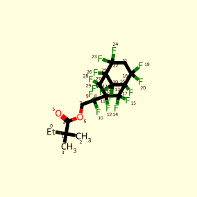 CCC(C)(C)C(=O)OCC(F)(F)C1(F)C(F)(F)C2(F)C(F)(F)CC(F)(F)C(F)(C1(F)F)C2(F)F